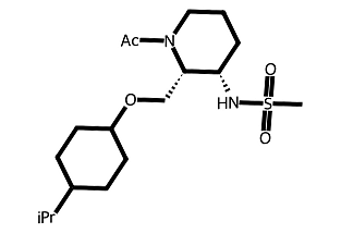 CC(=O)N1CCC[C@H](NS(C)(=O)=O)[C@@H]1COC1CCC(C(C)C)CC1